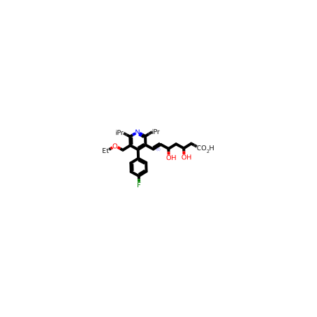 CCOCc1c(C(C)C)nc(C(C)C)c(/C=C/C(O)CC(O)CC(=O)O)c1-c1ccc(F)cc1